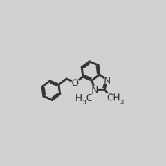 Cc1nc2cccc(OCc3ccccc3)c2n1C